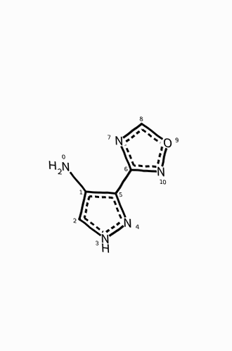 Nc1c[nH]nc1-c1ncon1